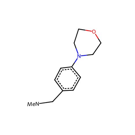 CNCc1ccc(N2CCOCC2)cc1